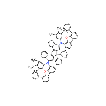 Cc1cc(N(c2cc3c(c4ccccc24)-c2c(cc(N(c4cc(C)c(C)c(C)c4)c4cccc5c4oc4c(-c6ccccc6)cccc45)c4ccccc24)C3(c2ccccc2)c2ccccc2)c2cccc3c2oc2c(-c4ccccc4)cccc23)cc(C)c1C